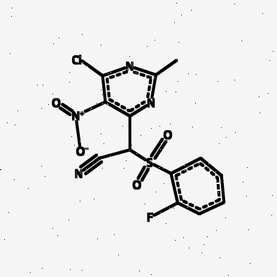 Cc1nc(Cl)c([N+](=O)[O-])c(C(C#N)S(=O)(=O)c2ccccc2F)n1